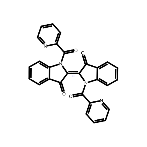 O=C1/C(=C2/C(=O)c3ccccc3N2C(=O)c2ccccn2)N(C(=O)c2ccccn2)c2ccccc21